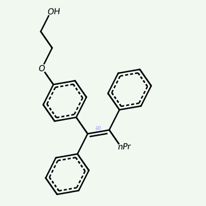 CCC/C(=C(\c1ccccc1)c1ccc(OCCO)cc1)c1ccccc1